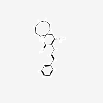 O=C1OC2(CCCCCCC2)CC(O)=C1CC=Cc1ccccc1